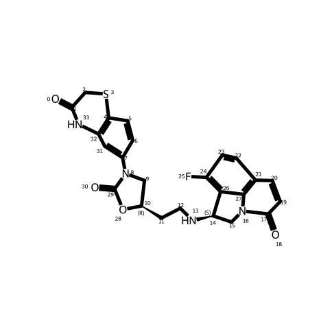 O=C1CSc2ccc(N3C[C@@H](CCN[C@@H]4Cn5c(=O)ccc6ccc(F)c4c65)OC3=O)cc2N1